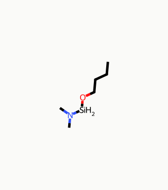 CCCCO[SiH2]N(C)C